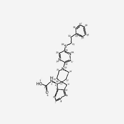 O=C(O)N[C@@H]1c2ccccc2CC12CCN(c1cnc(SCCc3ccccc3)cn1)CC2